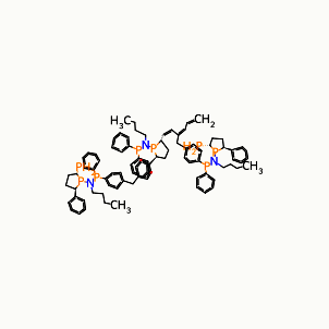 C=C/C=C(\C=C/[C@@H]1CC[C@@H](c2ccc(Cc3ccc(P(c4ccccc4)N(CCCC)P4[C@@H](c5ccccc5)CC[C@@H]4P)cc3)cc2)P1N(CCCC)P(c1ccccc1)c1ccccc1)Cc1ccc(P(c2ccccc2)N(CCCC)P2[C@H](P)CC[C@H]2c2ccccc2)cc1